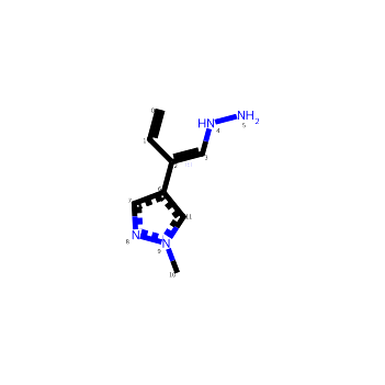 C=C/C(=C\NN)c1cnn(C)c1